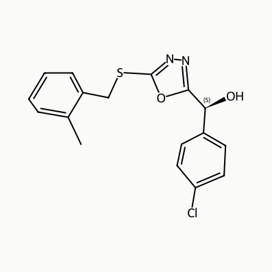 Cc1ccccc1CSc1nnc([C@@H](O)c2ccc(Cl)cc2)o1